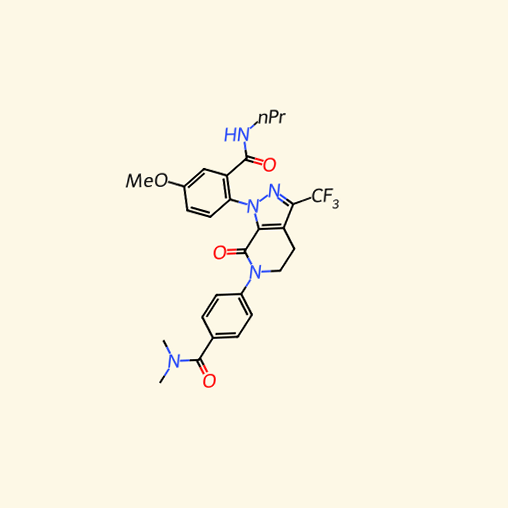 CCCNC(=O)c1cc(OC)ccc1-n1nc(C(F)(F)F)c2c1C(=O)N(c1ccc(C(=O)N(C)C)cc1)CC2